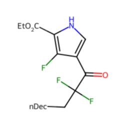 CCCCCCCCCCCC(F)(F)C(=O)c1c[nH]c(C(=O)OCC)c1F